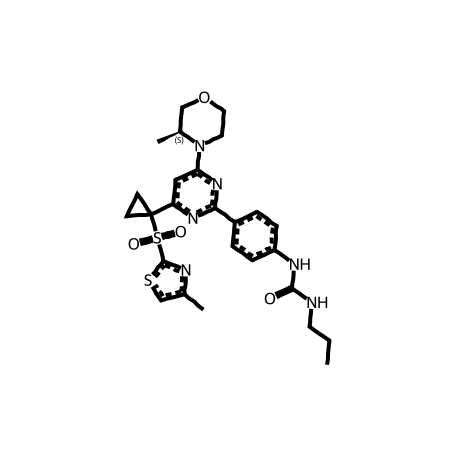 CCCNC(=O)Nc1ccc(-c2nc(N3CCOC[C@@H]3C)cc(C3(S(=O)(=O)c4nc(C)cs4)CC3)n2)cc1